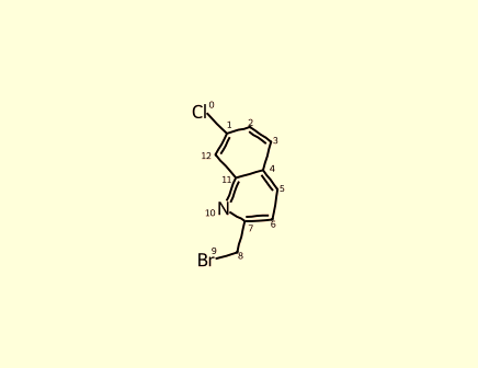 Clc1ccc2ccc(CBr)nc2c1